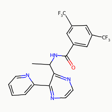 CC(NC(=O)c1cc(C(F)(F)F)cc(C(F)(F)F)c1)c1nccnc1-c1ccccn1